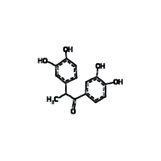 CC(C(=O)c1ccc(O)c(O)c1)c1ccc(O)c(O)c1